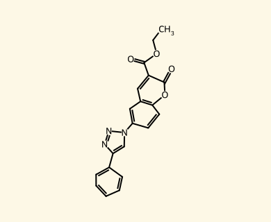 CCOC(=O)c1cc2cc(-n3cc(-c4ccccc4)nn3)ccc2oc1=O